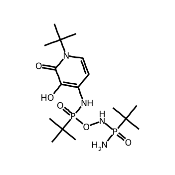 CC(C)(C)n1ccc(NP(=O)(ONP(N)(=O)C(C)(C)C)C(C)(C)C)c(O)c1=O